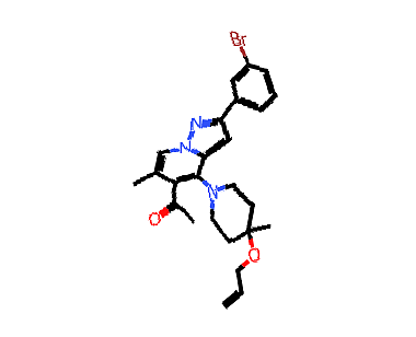 C=CCOC1(C)CCN(c2c(C(C)=O)c(C)cn3nc(-c4cccc(Br)c4)cc23)CC1